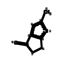 Cc1cc2c(s1)CCC2=O